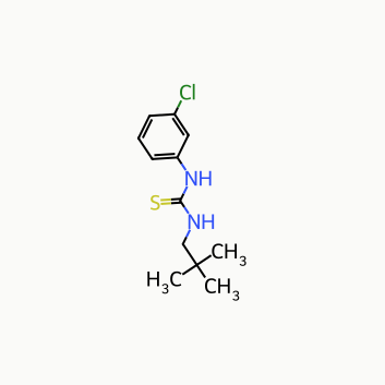 CC(C)(C)CNC(=S)Nc1cccc(Cl)c1